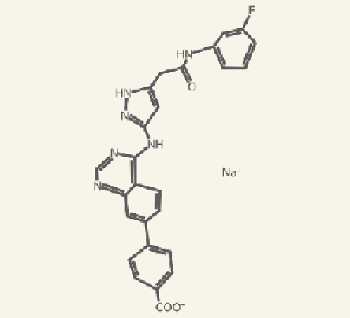 O=C(Cc1cc(Nc2ncnc3cc(-c4ccc(C(=O)[O-])cc4)ccc23)n[nH]1)Nc1cccc(F)c1.[Na+]